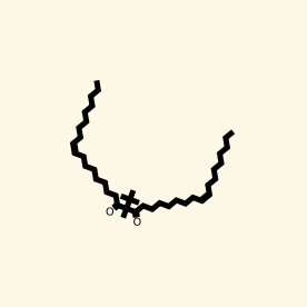 CCCCCCCC/C=C\CCCCCCCC(=O)C(C)(C(=O)CCCCCCC/C=C\CCCCCCCC)C(C)(C)C